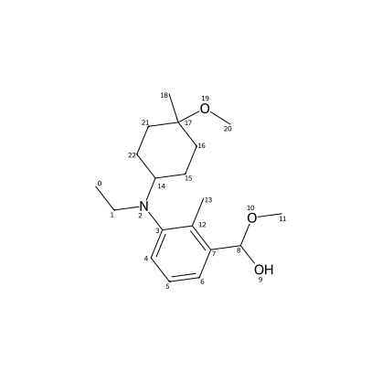 CCN(c1cccc(C(O)OC)c1C)C1CCC(C)(OC)CC1